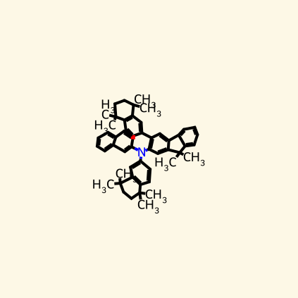 CC1(C)CCC(C)(C)c2cc(-c3cc4c(cc3N(c3ccc5c(c3)C(C)(C)CCC5(C)C)c3ccc5ccccc5c3)C(C)(C)c3ccccc3-4)ccc21